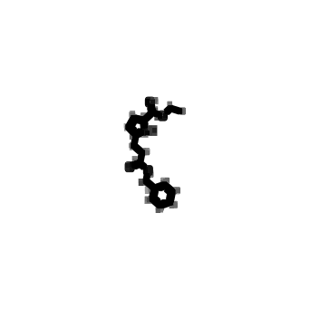 CCOC(=O)c1ccc(CCC(=O)OCc2ccccc2)[nH]1